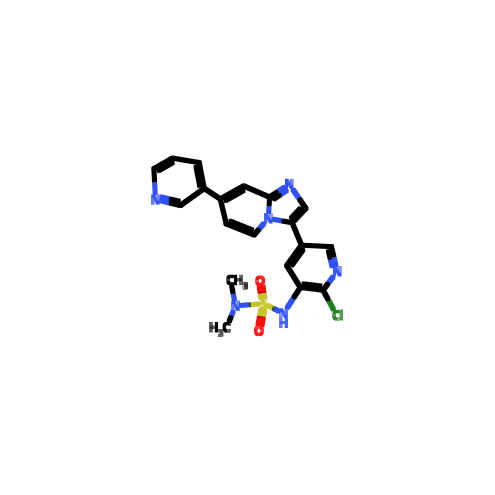 CN(C)S(=O)(=O)Nc1cc(-c2cnc3cc(-c4cccnc4)ccn23)cnc1Cl